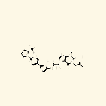 CC(=O)CN1C(=O)c2c(ncn2[C@@H](C)C(O)Nc2csc(-c3cnc(N4CCC[C@H]4C(F)(F)F)nc3)n2)N(C)C1O